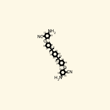 CC(C)(c1ccc(Oc2ccc(N)cc2C#N)cc1)c1ccc(C(C)(C)c2ccc(Oc3ccc(N)cc3C#N)cc2)cc1